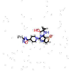 CC(C)c1noc(C2CCN(c3nc4c(c(NC5(CO)CC5)n3)[S+]([O-])CC4)CC2)n1